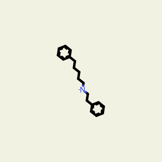 c1ccc(CCCCC[N]CCc2ccccc2)cc1